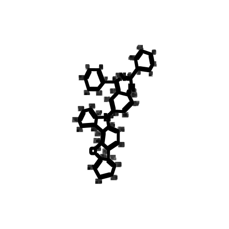 c1ccc(-c2nc(-c3ccccc3)c3cc(-n4c5ccccc5c5c6oc7ccccc7c6ccc54)ccc3n2)cc1